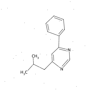 CC(C)Cc1cc(-c2ccccc2)ncn1